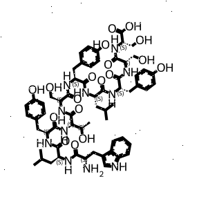 CC(C)C[C@H](NC(=O)[C@H](Cc1ccc(O)cc1)NC(=O)[C@H](CO)NC(=O)[C@@H](NC(=O)[C@H](Cc1ccc(O)cc1)NC(=O)[C@H](CC(C)C)NC(=O)[C@@H](N)Cc1c[nH]c2ccccc12)[C@@H](C)O)C(=O)N[C@@H](Cc1ccc(O)cc1)C(=O)N[C@@H](CO)C(=O)N[C@@H](CO)C(=O)O